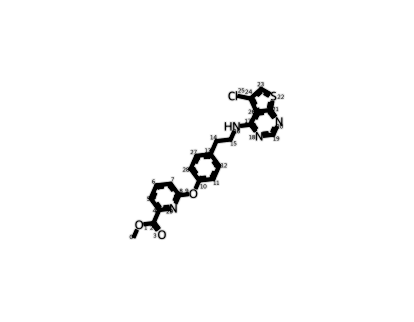 COC(=O)c1cccc(Oc2ccc(CCNc3ncnc4scc(Cl)c34)cc2)n1